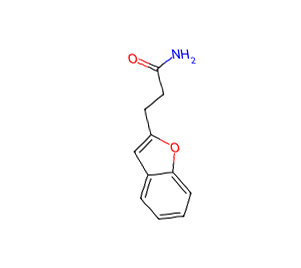 NC(=O)CCc1cc2ccccc2o1